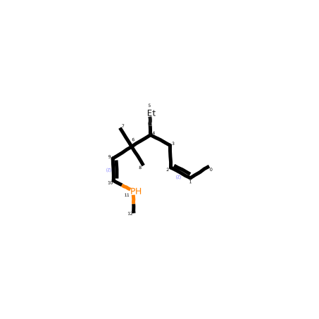 C/C=C\CC(CC)C(C)(C)/C=C\PC